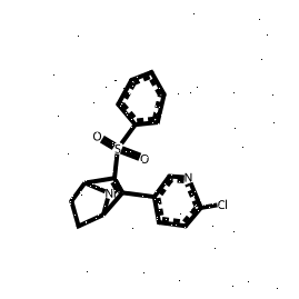 O=S(=O)(C1=C(c2ccc(Cl)nc2)C2CCC1N2)c1ccccc1